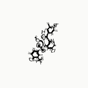 COCN(c1cc(Cl)cnc1C(O)c1cc[n+]([O-])c(C)c1)S(=O)(=O)c1ccc(Cl)c(C(F)(F)F)c1